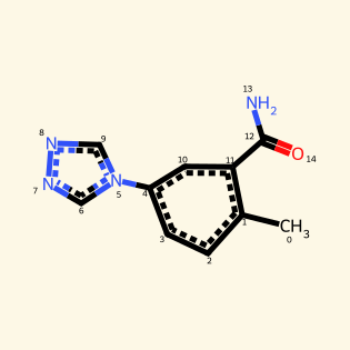 Cc1ccc(-n2cnnc2)cc1C(N)=O